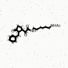 CC(=O)NCCCCCCNC(=O)C(=O)C1CCC(=O)C1Cc1ccccc1